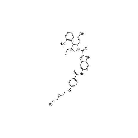 Cc1cccc2c(O)cc3c(c12)[C@H](CCl)CN3C(=O)c1cc2cc(NC(=O)c3ccc(OCCOCCO)cc3)ncc2[nH]1